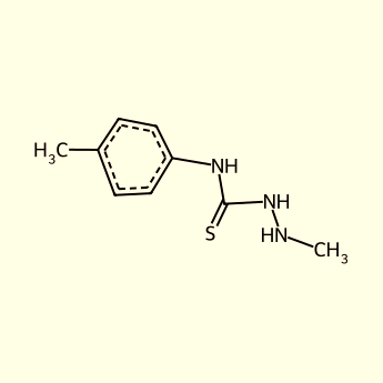 CNNC(=S)Nc1ccc(C)cc1